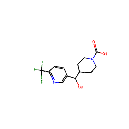 O=C(O)N1CCC(C(O)c2ccc(C(F)(F)F)nc2)CC1